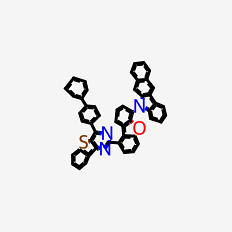 c1ccc(-c2ccc(-c3nc(-c4cccc5oc6c(-n7c8ccccc8c8cc9ccccc9cc87)cccc6c45)nc4c3sc3ccccc34)cc2)cc1